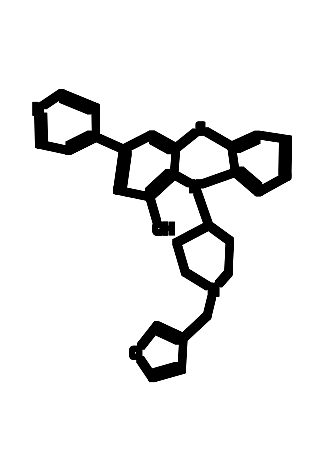 Oc1cc(-c2ccncc2)cc2c1N(C1CCN(Cc3ccoc3)CC1)c1ccccc1S2